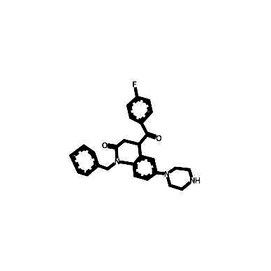 O=C(c1ccc(F)cc1)C1CC(=O)N(Cc2ccccc2)c2ccc(N3CCNCC3)cc21